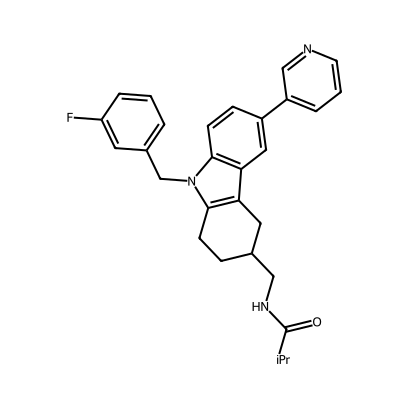 CC(C)C(=O)NCC1CCc2c(c3cc(-c4cccnc4)ccc3n2Cc2cccc(F)c2)C1